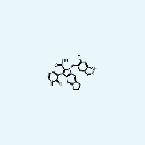 O=C(O)c1c(-c2ccc[nH]c2=O)c2cc3c(cc2n1Cc1cc2cn[nH]c2cc1F)CCC3